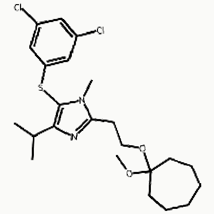 COC1(OCCc2nc(C(C)C)c(Sc3cc(Cl)cc(Cl)c3)n2C)CCCCCC1